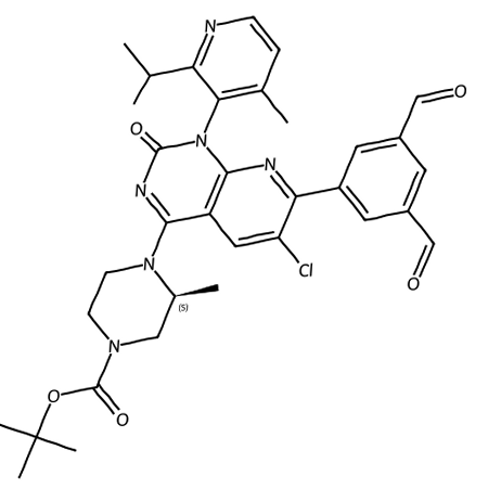 Cc1ccnc(C(C)C)c1-n1c(=O)nc(N2CCN(C(=O)OC(C)(C)C)C[C@@H]2C)c2cc(Cl)c(-c3cc(C=O)cc(C=O)c3)nc21